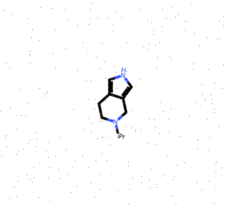 CC(C)N1CCc2c[nH]cc2C1